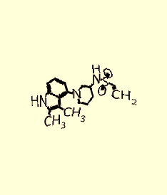 C=CS(=O)(=O)NC1CCCN(c2cccc3[nH]c(C)c(C)c23)C1